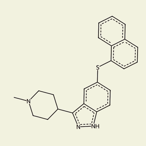 CN1CCC(c2n[nH]c3ccc(Sc4cccc5ccccc45)cc23)CC1